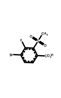 CS(=O)(=O)c1c(C(=O)O)ccc(Br)c1F